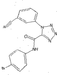 N#Cc1cccc(-n2nnnc2C(=O)Nc2ccc(Br)cc2)c1